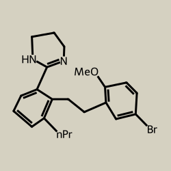 CCCc1cccc(C2=NCCCN2)c1CCc1cc(Br)ccc1OC